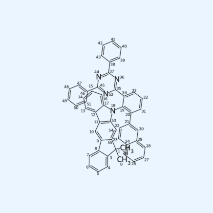 CC1(C)c2ccccc2-c2cc3c4ccccc4n(-c4c(-c5ccc6ccccc6c5)cccc4-c4nc(-c5ccccc5)nc(-c5ccccc5)n4)c3cc21